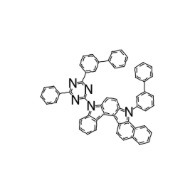 c1ccc(-c2cccc(-c3nc(-c4ccccc4)nc(-n4c5ccccc5c5c6c7ccc8ccccc8c7n(-c7cccc(-c8ccccc8)c7)c6ccc54)n3)c2)cc1